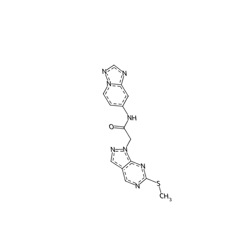 CSc1ncc2cnn(CC(=O)Nc3ccn4ncnc4c3)c2n1